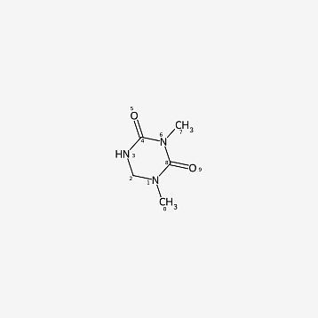 CN1CNC(=O)N(C)C1=O